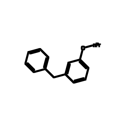 CCCOc1cccc(Cc2ccccc2)c1